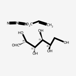 C=CC(=O)O.O=C[C@H](O)[C@@H](O)[C@@H](O)[C@H](O)CO.[N-]=[N+]=[N-]